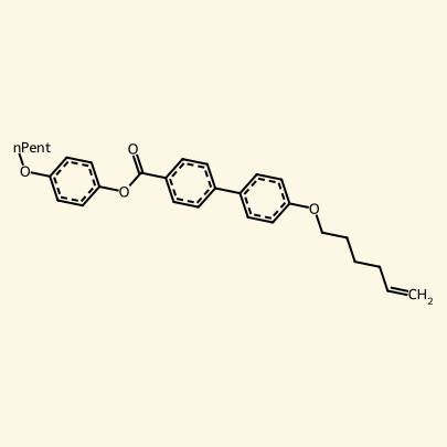 C=CCCCCOc1ccc(-c2ccc(C(=O)Oc3ccc(OCCCCC)cc3)cc2)cc1